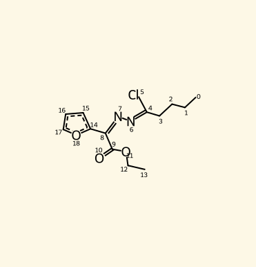 CCCCC(Cl)=NN=C(C(=O)OCC)c1ccco1